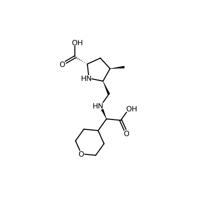 C[C@@H]1C[C@@H](C(=O)O)N[C@@H]1CN[C@@H](C(=O)O)C1CCOCC1